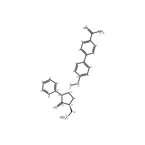 N=C(N)c1ccc(-c2ccc(OC[C@@H]3C[C@@H](CC(=O)O)C(=O)N3c3ccccn3)cc2)cc1